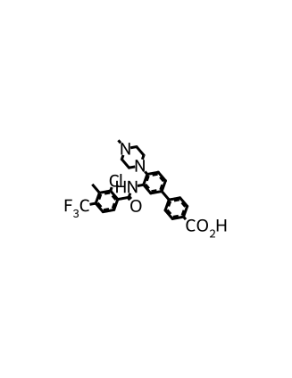 Cc1c(C(F)(F)F)ccc(C(=O)Nc2cc(-c3ccc(C(=O)O)cc3)ccc2N2CCN(C)CC2)c1Cl